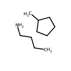 CC1CCCC1.CCCCN